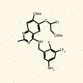 CCC(COC)Oc1cc2c(NCc3cc(N)cc(C(F)(F)F)c3F)nc(C)nc2cc1OC